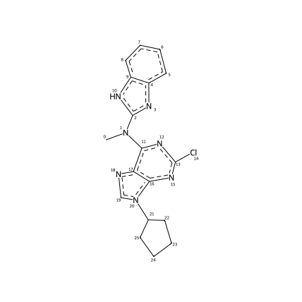 CN(c1nc2ccccc2[nH]1)c1nc(Cl)nc2c1ncn2C1CCCC1